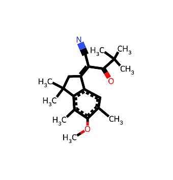 COc1c(C)cc2c(c1C)C(C)(C)CC2=C(C#N)C(=O)C(C)(C)C